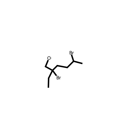 CCC(Br)(C[O])CCC(C)Br